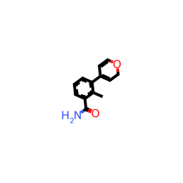 Cc1c(C(N)=O)cccc1C1=CCOC=C1